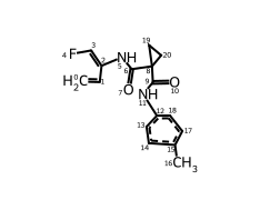 C=C/C(=C\F)NC(=O)C1(C(=O)Nc2ccc(C)cc2)CC1